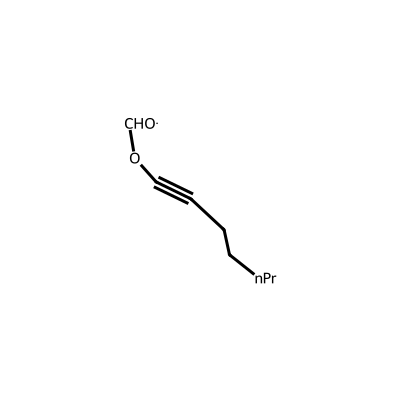 CCCCCC#CO[C]=O